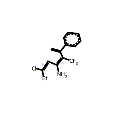 C=C(/C(=C(N)\C=C(\Cl)CC)C(F)(F)F)c1ccccc1